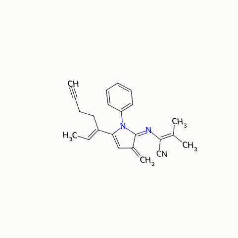 C#CCC/C(=C\C)C1=CC(=C)/C(=N\C(C#N)=C(C)C)N1c1ccccc1